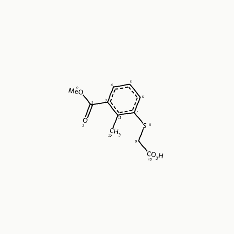 COC(=O)c1cccc(SCC(=O)O)c1C